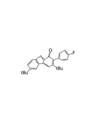 CC(C)(C)C1=C(c2ccc(F)cc2)C(=O)C2=Cc3ccc(C(C)(C)C)cc3C2=C1